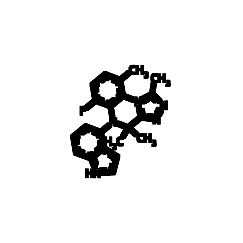 Cc1ccc(F)c2c1-n1c(C)nnc1C(C)(C)N2c1cccc2[nH]ccc12